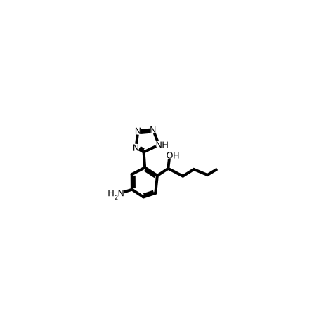 CCCCC(O)c1ccc(N)cc1-c1nnn[nH]1